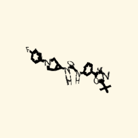 CC(C)(C)c1nnc(-c2cccc(NC(=O)NC3C4CN(c5ccc(F)cc5)CC43)c2)o1